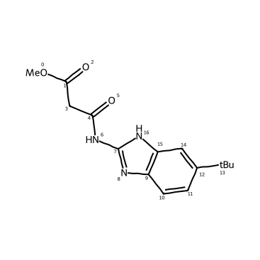 COC(=O)CC(=O)Nc1nc2ccc(C(C)(C)C)cc2[nH]1